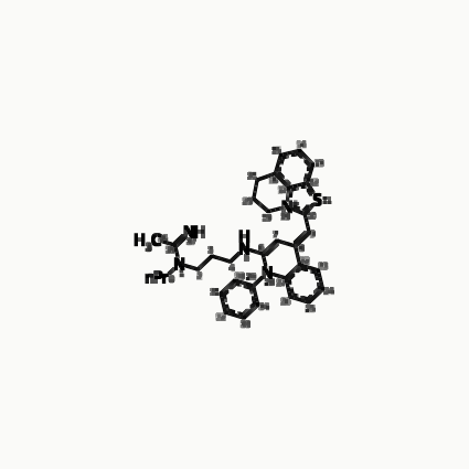 CCCN(CCCNC1=CC(=Cc2sc3cccc4c3[n+]2CCC4)c2ccccc2N1c1ccccc1)C(C)=N